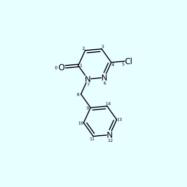 O=c1ccc(Cl)nn1Cc1ccncc1